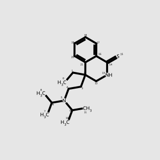 CCC1(CCN(C(C)C)C(C)C)CNC(=S)c2ccccc21